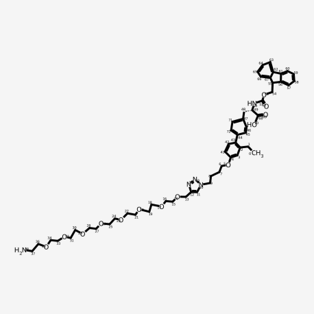 CCc1cc(OCCCCn2cc(COCCOCCOCCOCCOCCOCCOCCOCCN)nn2)ccc1-c1ccc(C[C@H](NC(=O)OCC2c3ccccc3-c3ccccc32)C(=O)O)cc1